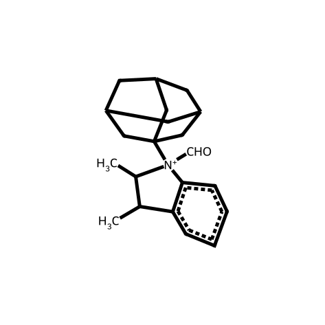 CC1c2ccccc2[N+](C=O)(C23CC4CC(CC(C4)C2)C3)C1C